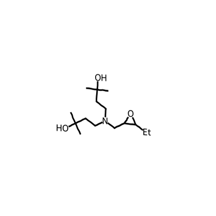 CCC1OC1CN(CCC(C)(C)O)CCC(C)(C)O